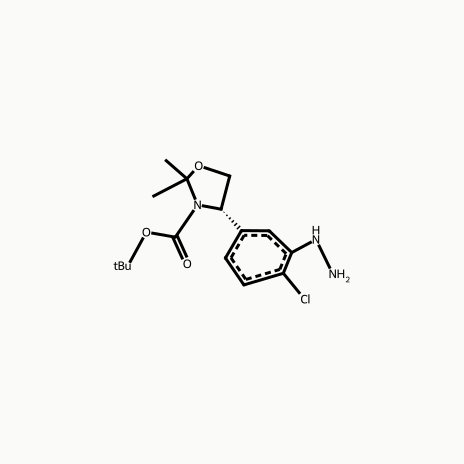 CC(C)(C)OC(=O)N1[C@@H](c2ccc(Cl)c(NN)c2)COC1(C)C